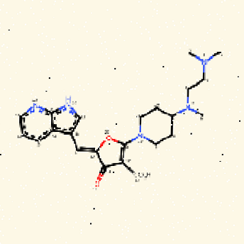 CN(C)CCN(C)C1CCN(C2=C(C(=O)O)C(=O)C(=Cc3c[nH]c4ncccc34)O2)CC1